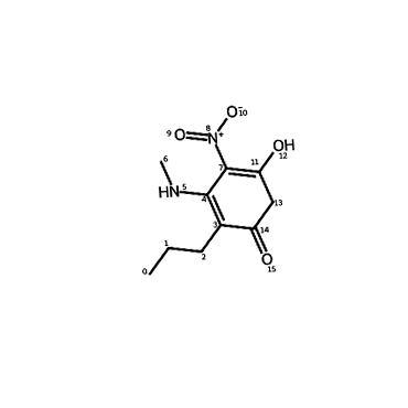 CCCC1=C(NC)C([N+](=O)[O-])=C(O)CC1=O